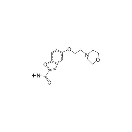 [NH]C(=O)c1cc2cc(OCCN3CCOCC3)ccc2o1